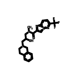 CN(CC(O)CN1CCc2ccccc2C1)C(=O)c1cn2nc(C(F)(F)F)ccc2n1